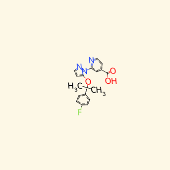 CC(C)(Oc1ccnn1-c1cc(C(=O)O)ccn1)c1ccc(F)cc1